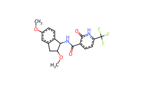 COc1ccc2c(c1)CC(OC)C2NC(=O)c1ccc(C(F)(F)F)[nH]c1=O